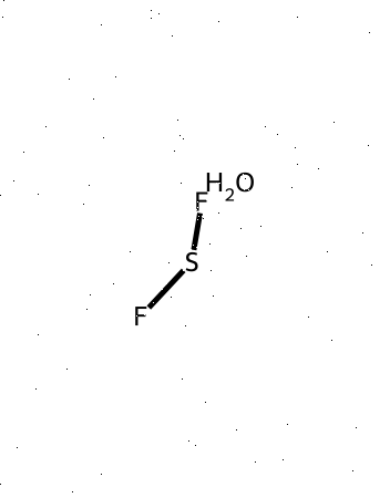 FSF.O